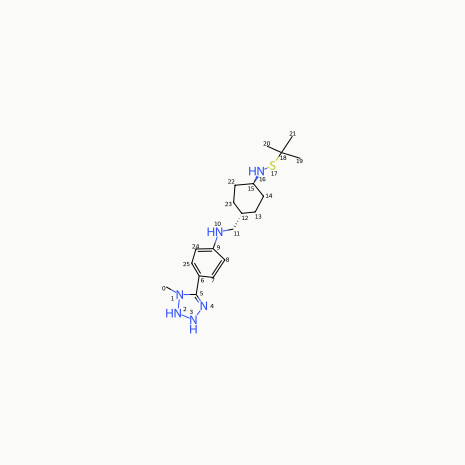 CN1NNN=C1c1ccc(NC[C@H]2CC[C@H](NSC(C)(C)C)CC2)cc1